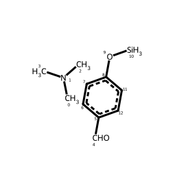 CN(C)C.O=Cc1ccc(O[SiH3])cc1